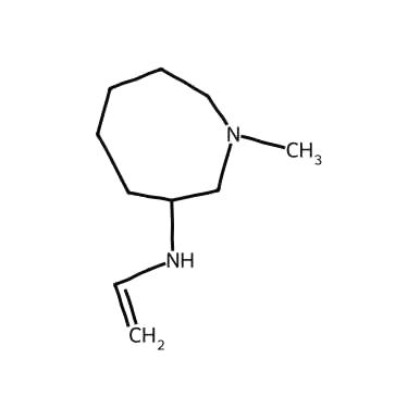 C=CNC1CCCCCN(C)C1